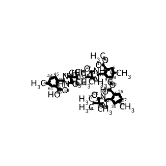 COC(=O)c1cc(C)ccc1C1=NC(C)(C(C)C)C(=O)N1.COC(=O)c1ccc(C)cc1C1=NC(C)(C(C)C)C(=O)N1.Cc1ccc(C2=NC(C)(C(C)C)C(=O)N2)c(C(=O)O)c1